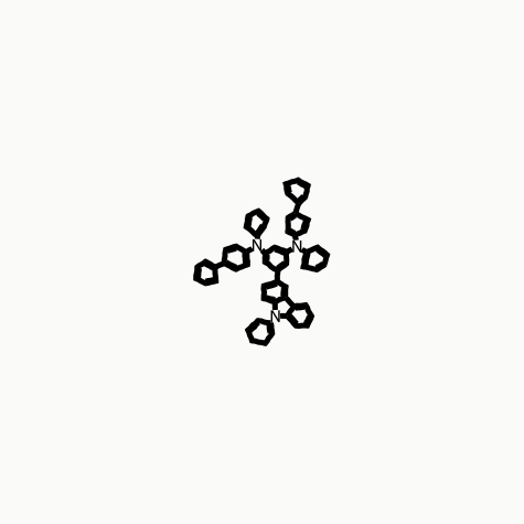 C1=CC(n2c3ccccc3c3cc(-c4cc(N(c5ccccc5)c5ccc(-c6ccccc6)cc5)cc(N(c5ccccc5)c5ccc(-c6ccccc6)cc5)c4)ccc32)=CCC1